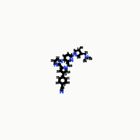 C[C@@H]1CN(c2ccc3c(n2)Cn2cc(-c4ccc(C#N)cc4)cc2-c2nccn2-3)C[C@@H]1CN(C)C